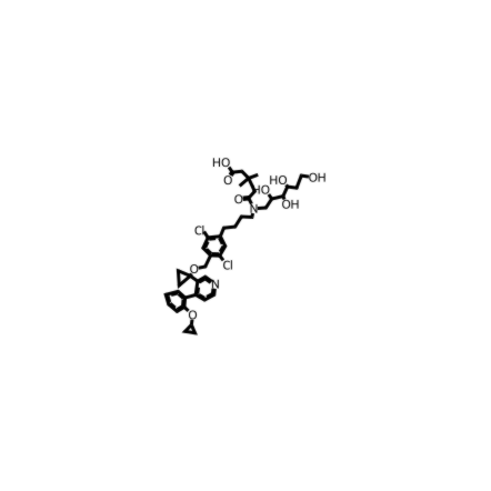 CC(C)(CC(=O)O)CC(=O)N(CCCCc1cc(Cl)c(COC2(c3cnccc3-c3ccccc3OC3CC3)CC2)cc1Cl)CC(O)C(O)C(O)CCO